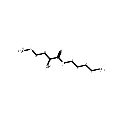 CCCCCOC(=O)C(O)CCSC